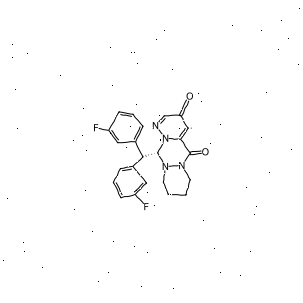 O=C1c2[c]c(=O)cnn2[C@@H](C(c2cccc(F)c2)c2cccc(F)c2)N2CCCCN12